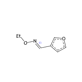 CCO/N=C/c1ccoc1